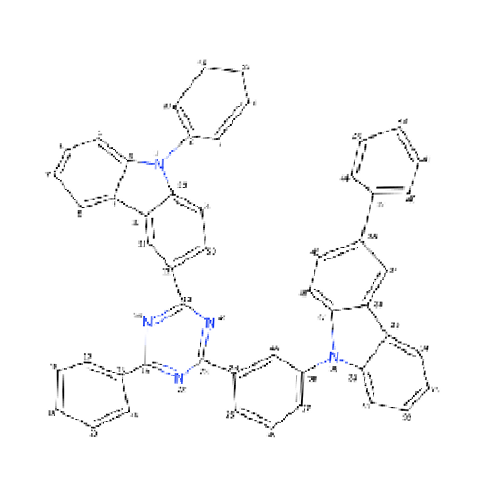 C1=CC(n2c3ccccc3c3cc(-c4nc(-c5ccccc5)nc(-c5cccc(-n6c7ccccc7c7cc(-c8ccccc8)ccc76)c5)n4)ccc32)=CCC1